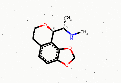 CN[C@@H](C)[C@@H]1OCCc2ccc3c(c21)OCO3